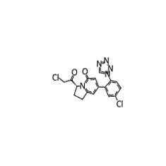 O=C(CCl)[C@@H]1CCc2cc(-c3cc(Cl)ccc3-n3cnnn3)cc(=O)n21